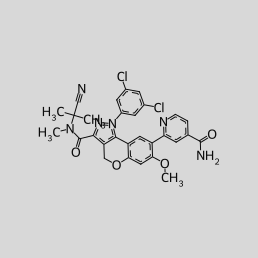 COc1cc2c(cc1-c1cc(C(N)=O)ccn1)-c1c(c(C(=O)N(C)C(C)(C)C#N)nn1-c1cc(Cl)cc(Cl)c1)CO2